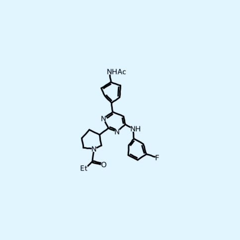 CCC(=O)N1CCCC(c2nc(Nc3cccc(F)c3)cc(-c3ccc(NC(C)=O)cc3)n2)C1